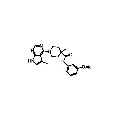 COc1cccc(NC(=O)C2(C)CCN(c3ncnc4[nH]cc(C)c34)CC2)c1